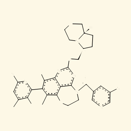 Cc1cc(N)nc(-c2c(Cl)c3c4c(nc(OC[C@@H]5CC[C@H]6COCCN65)nc4c2F)N([C@H](C)c2cncc(N)c2)CCO3)c1C(F)(F)F